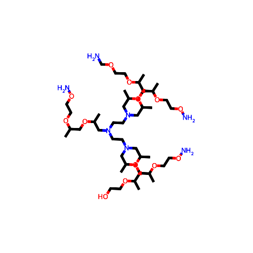 CC(COC(C)CN(CCN(CC(C)OCC(C)OCCO)CC(C)OCC(C)OCCON)CCN(CC(C)OCC(C)OCCON)CC(C)OCC(C)OCCOCN)OCCON